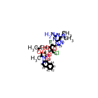 CC(C)OC(=O)[C@@H](C)NP(=S)(OC[C@@]1(CCl)O[C@@H](n2cnc3c(N(C)C)nc(N)nc32)[C@H](F)[C@@H]1O)Oc1cccc2ccccc12